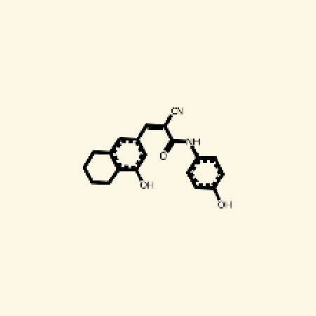 N#CC(=Cc1cc(O)c2c(c1)CCCC2)C(=O)Nc1ccc(O)cc1